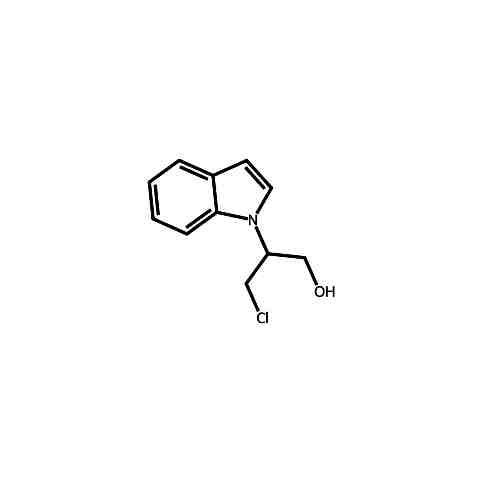 OCC(CCl)n1ccc2ccccc21